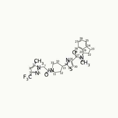 Cc1cc(C(F)(F)F)nn1CC(=O)N1CCC(c2nc(C(=O)N(C)[C@@H]3CCc4ccccc43)cs2)CC1